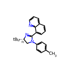 Cc1ccc(N2C[C@H](C(C)(C)C)N=C2c2cccc3cccnc23)cc1